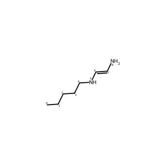 CCCCCN/C=C/N